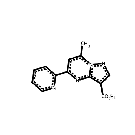 CCOC(=O)c1cnn2c(C)cc(-c3ccccn3)nc12